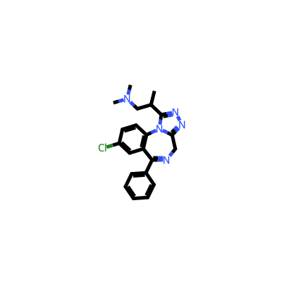 CC(CN(C)C)c1nnc2n1-c1ccc(Cl)cc1C(c1ccccc1)=NC2